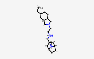 CNCC1CCC2CN(CCNCC3CC4CCC(C3)N4C)CC2C1